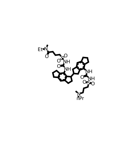 CCCN(C)CCCS(=O)(=O)NC(=O)Nc1c2c(cc3c1CC(C1CCc4cc5c(c(NC(=O)NS(=O)(=O)CCCC(=O)N(C)CC)c41)CCC5)C3)CCC2